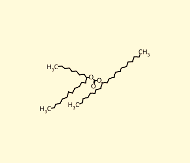 CCCCCCCCCCCCC(CCCCCCCC)OC(=O)OC(CCCCCCCC)CCCCCCCCCCCC